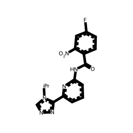 CC(C)n1cnnc1-c1cccc(NC(=O)c2ccc(F)cc2[N+](=O)[O-])n1